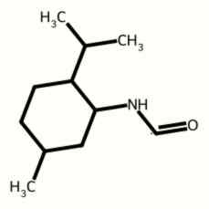 CC1CCC(C(C)C)C(N[C]=O)C1